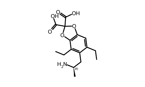 CCc1cc2c(c(CC)c1C[C@@H](C)N)OC(C(=O)O)(C(=O)O)O2